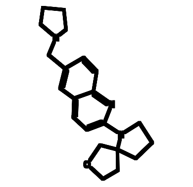 c1cc2nc(N3CCCC34CCOC4)ccc2cc1CN1CCCC1